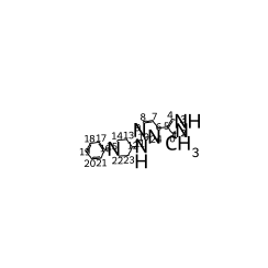 Cc1n[nH]cc1-c1ccnc(NC2CCN(c3ccccc3)CC2)n1